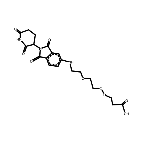 O=C(O)CCOOCCOCCNc1ccc2c(c1)C(=O)N(C1CCC(=O)NC1=O)C2=O